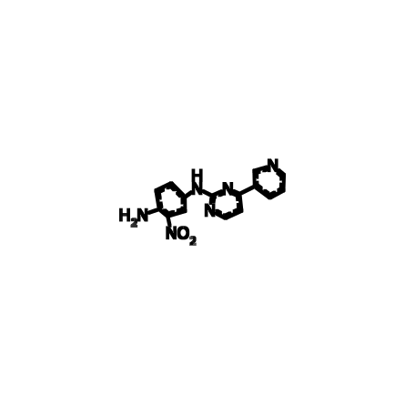 Nc1ccc(Nc2nccc(-c3cccnc3)n2)cc1[N+](=O)[O-]